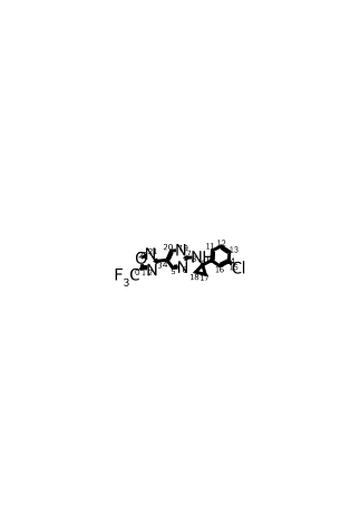 FC(F)(F)c1nc(-c2cnc(NC3(c4cccc(Cl)c4)CC3)nc2)no1